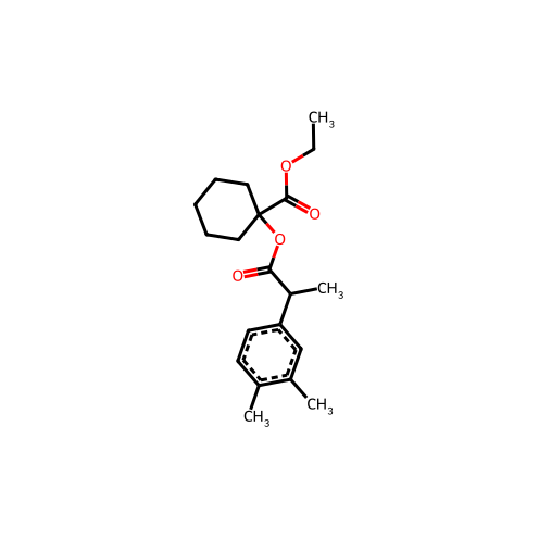 CCOC(=O)C1(OC(=O)C(C)c2ccc(C)c(C)c2)CCCCC1